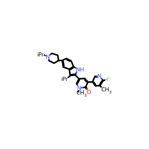 Cc1cc(-c2cc(-c3[nH]c4ccc(C5CCN(C(C)C)CC5)cc4c3C(C)C)cn(C)c2=O)cnc1F